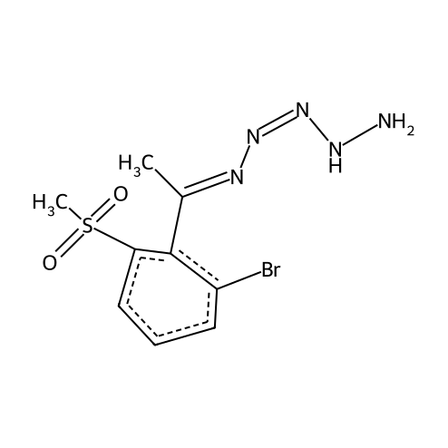 C/C(=N\N=N/NN)c1c(Br)cccc1S(C)(=O)=O